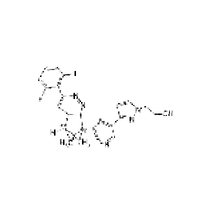 CC1(C)[C@H]2CC[C@]1(c1cncc(-c3ccn(CCO)n3)n1)c1nnc(-c3c(F)cccc3F)cc12